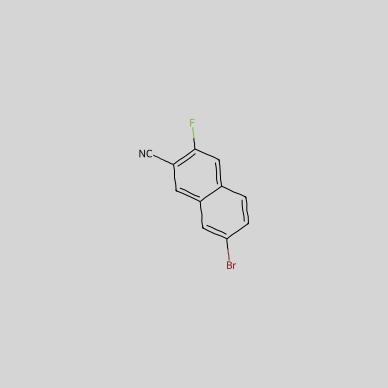 N#Cc1cc2cc(Br)ccc2cc1F